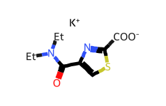 CCN(CC)C(=O)c1csc(C(=O)[O-])n1.[K+]